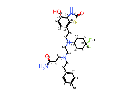 Cc1ccc(CCN(CCC(N)=O)CCN(CCc2ccc(O)c3[nH]c(=O)sc23)C2CCC(F)(F)CC2)cc1